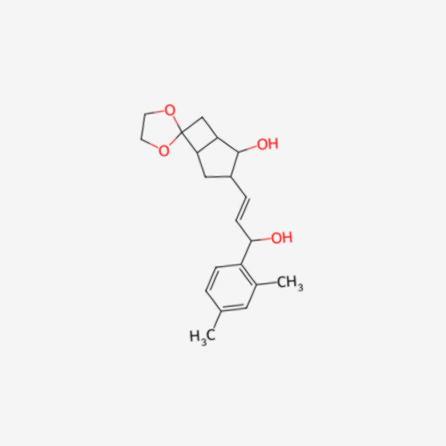 Cc1ccc(C(O)C=CC2CC3C(CC34OCCO4)C2O)c(C)c1